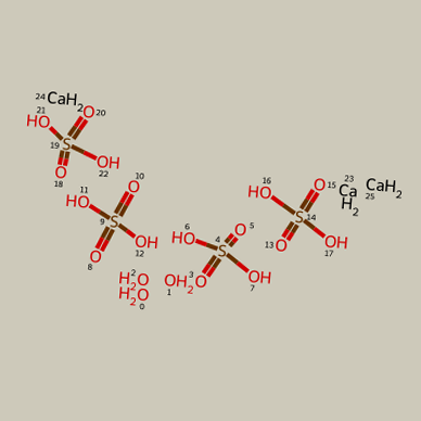 O.O.O.O=S(=O)(O)O.O=S(=O)(O)O.O=S(=O)(O)O.O=S(=O)(O)O.[CaH2].[CaH2].[CaH2]